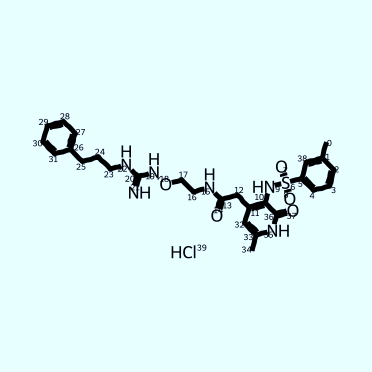 Cc1cccc(S(=O)(=O)Nc2c(CC(=O)NCCONC(=N)NCCCc3ccccc3)cc(C)[nH]c2=O)c1.Cl